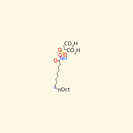 CCCCCCCC/C=C\CCCCCCCC(=O)NOS(=O)(=O)C(CC(=O)O)C(=O)O